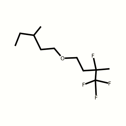 CCC(C)CCOCCC(C)(F)C(F)(F)F